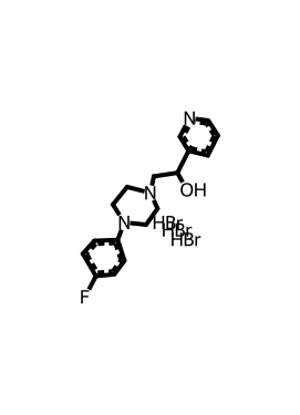 Br.Br.Br.OC(CN1CCN(c2ccc(F)cc2)CC1)c1cccnc1